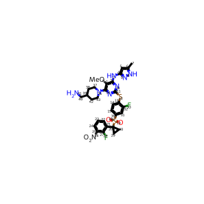 COc1c(Nc2cc(C)[nH]n2)nc(Sc2ccc(S(=O)(=O)C3(c4cccc([N+](=O)[O-])c4F)CC3)cc2F)nc1N1CCC(CN)CC1